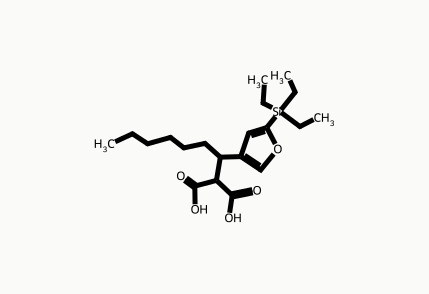 CCCCCCC(c1coc([Si](CC)(CC)CC)c1)C(C(=O)O)C(=O)O